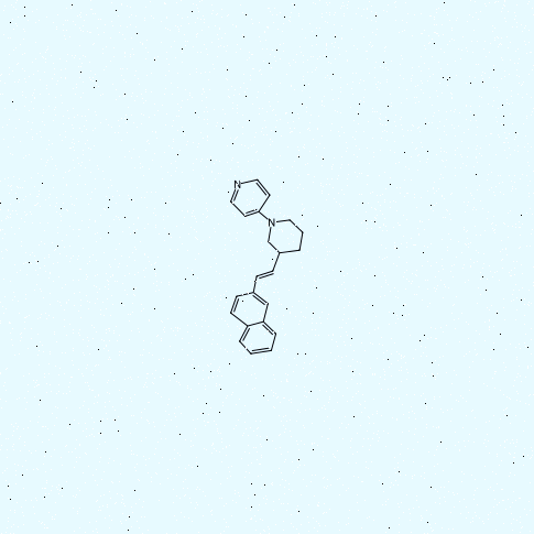 C(=CC1CCCN(c2ccncc2)C1)c1ccc2ccccc2c1